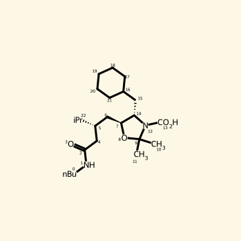 CCCCNC(=O)C[C@@H](C[C@@H]1OC(C)(C)N(C(=O)O)[C@H]1CC1CCCCC1)C(C)C